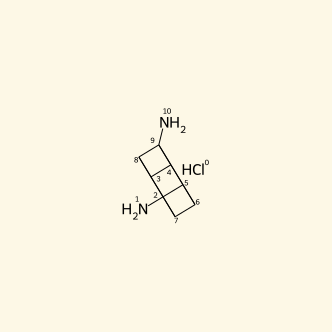 Cl.NC12C3C4C1C1C2C3C41N